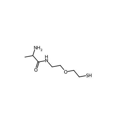 CC(N)C(=O)NCCOCCS